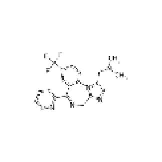 CN(C)Cc1cnc2n1-c1ccc(C(F)(F)F)cc1C(c1ccccn1)=NC2